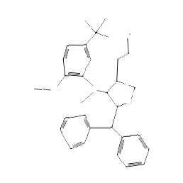 COc1ccc(C(C)(C)C)cc1N(C)C1C(CCO)CNC1C(c1ccccc1)c1ccccc1